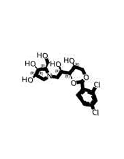 OC[C@@H]1[C@@H](O)[C@H](O)CN1C[C@@H](O)[C@H]1OC(c2ccc(Cl)cc2Cl)OC[C@H]1O